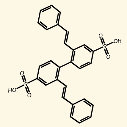 O=S(=O)(O)c1ccc(-c2ccc(S(=O)(=O)O)cc2/C=C/c2ccccc2)c(/C=C/c2ccccc2)c1